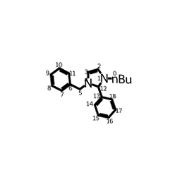 CCCCN1C=CN(Cc2ccccc2)C1c1ccccc1